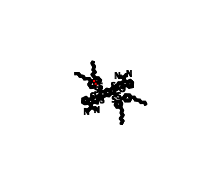 CCCCCCc1ccc(CS/C(Sc2ccc(CCCCCC)cc2)=C2/c3cc4c(cc3-c3sc(/C=C5\C(=O)c6ccccc6C5=C(C#N)C#N)cc32)C(=C(Sc2ccc(CCCCCC)cc2)Sc2ccc(CCCCCC)cc2)c2cc(/C=C3\C(=O)c5ccccc5C3=C(C#N)C#N)sc2-4)cc1